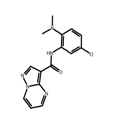 CN(C)c1ccc(Cl)cc1NC(=O)c1cnn2cccnc12